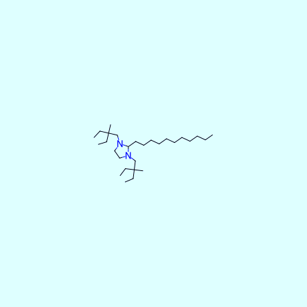 CCCCCCCCCCCC1N(CC(C)(CC)CC)CCN1CC(C)(CC)CC